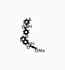 COCC#CC(=O)Nc1ccc2nccc(Oc3ccc(C(=O)Nc4cc(F)ccn4)cc3)c2c1